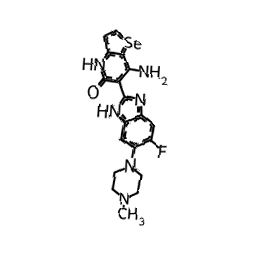 CN1CCN(c2cc3[nH]c(-c4c(N)c5[se]ccc5[nH]c4=O)nc3cc2F)CC1